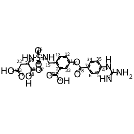 N=C(N)Nc1ccc(C(=O)Oc2ccc(CNS(=O)(=O)NC(CC(=O)O)C(=O)O)c(C(=O)O)c2)cc1